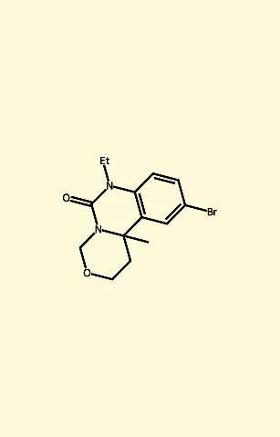 CCN1C(=O)N2COCCC2(C)c2cc(Br)ccc21